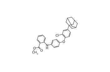 COC(=O)c1ccccc1Nc1ccc(Oc2ccc(C34CC5CC(CC(C5)C3)C4)cc2Cl)cc1